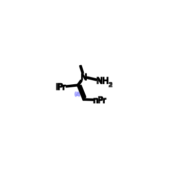 CCC/C=C(/C(C)C)N(C)N